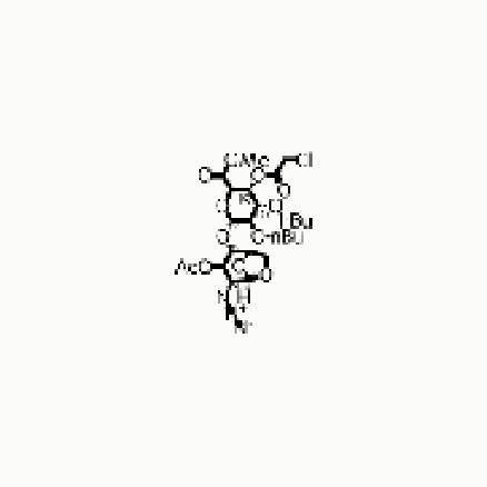 CCCCOC1[C@H](O[C@@H]2C3CO[C@H](O3)[C@@H](N=[N+]=[N-])C2OC(C)=O)OC(C(=O)OC)[C@@H](OC(=O)CCl)[C@@H]1OCCCC